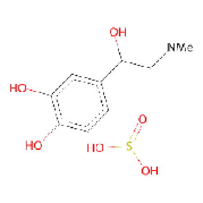 CNCC(O)c1ccc(O)c(O)c1.O=S(O)O